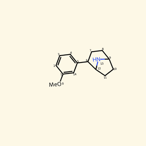 COc1cccc(C2CCC3CCC2N3)c1